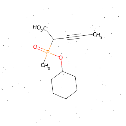 CC#CC(C(=O)O)P(C)(=O)OC1CCCCC1